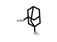 CC(=O)NC12CC3CC(C1)CC([N+](=O)[O-])(C3)C2